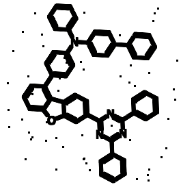 c1ccc(-c2ccc(N(c3ccccc3)c3ccc(-c4cccc5oc6cc(-c7nc(-c8ccccc8)nc(-c8ccccc8)n7)ccc6c45)cc3)cc2)cc1